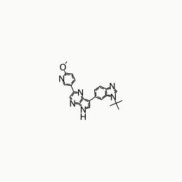 COc1ccc(-c2cnc3[nH]cc(-c4ccc5ncn(C(C)(C)C)c5c4)c3n2)cn1